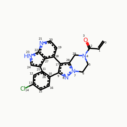 C=CC(=O)N1CCn2nc(-c3ccc(Cl)cc3)c(-c3ccnc4[nH]cc(C)c34)c2C1